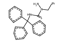 CC(C)CN(N)C(=S)NC(c1ccccc1)(c1ccccc1)c1ccccc1